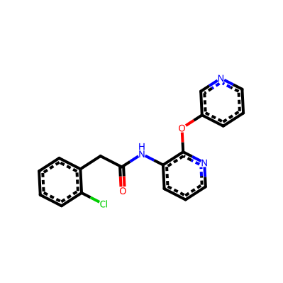 O=C(Cc1ccccc1Cl)Nc1cccnc1Oc1cccnc1